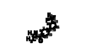 C[C@H](N)C(=O)N1CCN(c2cccc(C(F)(F)F)c2)CC1